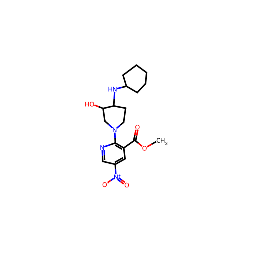 COC(=O)c1cc([N+](=O)[O-])cnc1N1CCC(NC2CCCCC2)C(O)C1